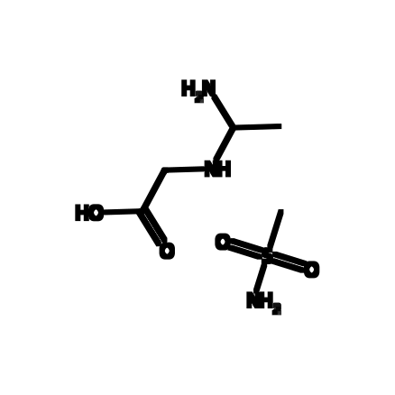 CC(N)NCC(=O)O.CS(N)(=O)=O